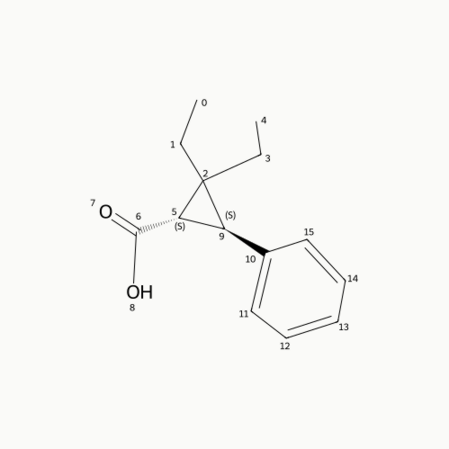 CCC1(CC)[C@@H](C(=O)O)[C@@H]1c1ccccc1